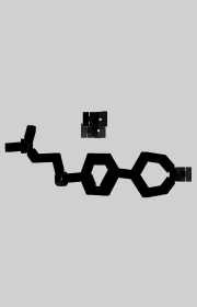 CN(C)CCOc1ccc(C2CCNCC2)cc1.Cl.Cl